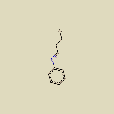 CC(=O)CC/C=N/c1ccccc1